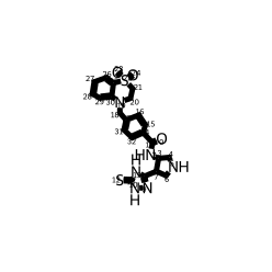 O=C(NC1CNCC1c1n[nH]c(=S)[nH]1)c1ccc(CN2CCS(=O)(=O)c3ccccc32)cc1